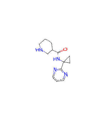 O=C(NC1(c2ncccn2)CC1)C1CCCNC1